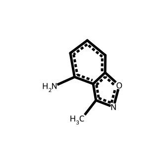 Cc1noc2cccc(N)c12